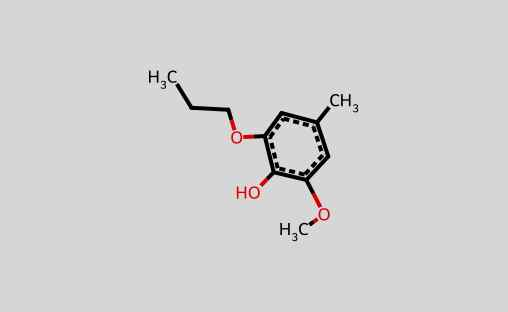 CCCOc1cc(C)cc(OC)c1O